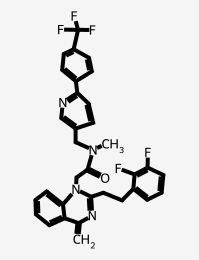 C=C1N=C(CCc2cccc(F)c2F)N(CC(=O)N(C)Cc2ccc(-c3ccc(C(F)(F)F)cc3)nc2)c2ccccc21